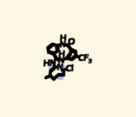 CC1\C=C(N[C@H]2Nc3cc(cc(C(F)(F)F)c3)C(=O)Nc3cccc2c3)/N=C(Cl)\C=C\C1